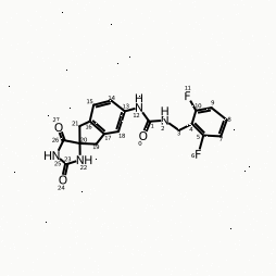 O=C(NCc1c(F)cccc1F)Nc1ccc2c(c1)CC1(C2)NC(=O)NC1=O